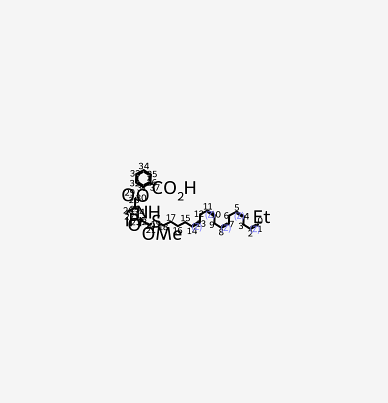 CC/C=C\C/C=C\C/C=C\C/C=C\C/C=C\CCCCSC(OC)C(=O)NC(CC(C)C)C(=O)Oc1ccccc1C(=O)O